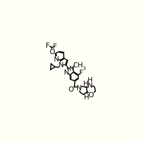 Cn1c(-c2cc3ccc(OC(F)F)nc3n2CC2CC2)nc2cc(C(=O)N3CC[C@H]4OCCN[C@H]4C3)cc(F)c21